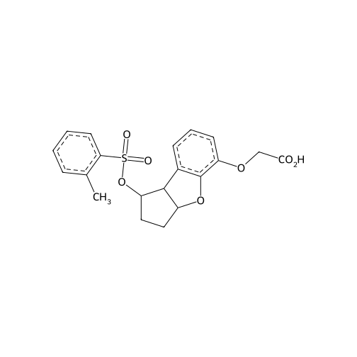 Cc1ccccc1S(=O)(=O)OC1CCC2Oc3c(OCC(=O)O)cccc3C21